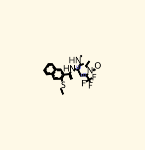 C=C(NC(/C=C(\N(C=O)CC)C(F)(F)F)=C(/C)NC)c1cc2ccccc2cc1SCC